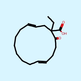 CCC1(C(=O)O)C/C=C/CCCCCC/C=C/CCC1=O